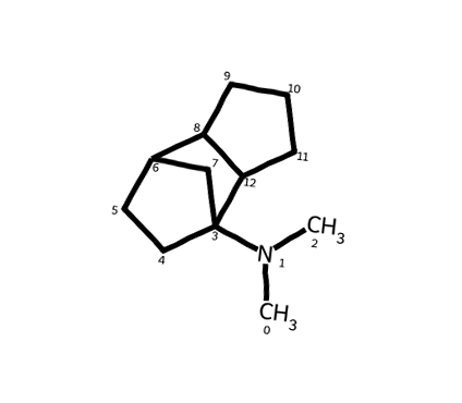 CN(C)C12CCC(C1)C1CCCC12